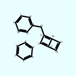 [c]1ccccc1.c1ccc(Cc2cc3ccc2-3)cc1